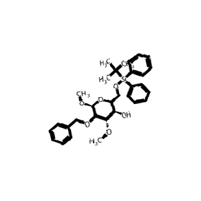 CO[C@H]1OC(CO[Si](c2ccccc2)(c2ccccc2)C(C)(C)C)[C@@H](O)[C@H](OC)C1OCc1ccccc1